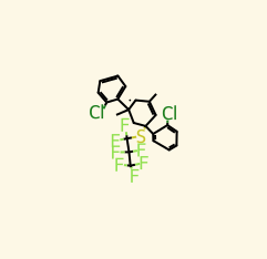 CC1=CC(SC(F)(F)C(F)(F)C(F)(F)F)(c2ccccc2Cl)CC(C)(c2ccccc2Cl)[CH]1